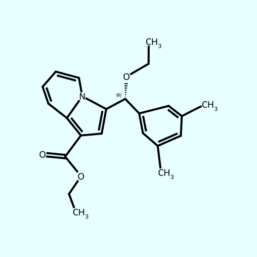 CCOC(=O)c1cc([C@H](OCC)c2cc(C)cc(C)c2)n2ccccc12